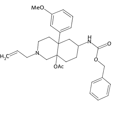 C=CCN1CCC2(c3cccc(OC)c3)CC(NC(=O)OCc3ccccc3)CCC2(OC(C)=O)C1